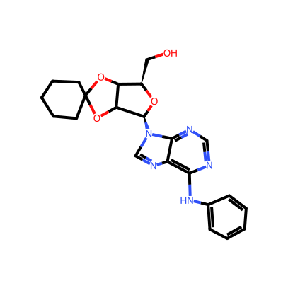 OC[C@H]1O[C@@H](n2cnc3c(Nc4ccccc4)ncnc32)C2OC3(CCCCC3)OC21